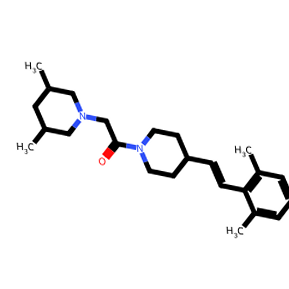 Cc1cccc(C)c1C=CC1CCN(C(=O)CN2CC(C)CC(C)C2)CC1